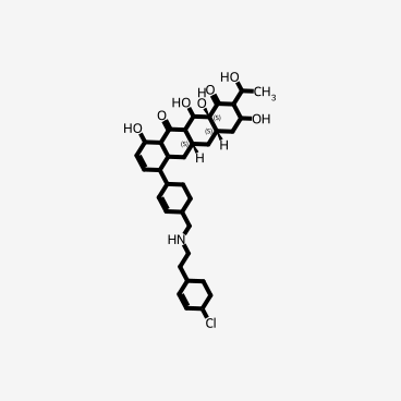 CC(O)C1C(=O)[C@@]2(O)C(O)C3C(=O)C4C(O)C=CC(C5C=CC(CNCCC6C=CC(Cl)CC6)CC5)C4C[C@H]3C[C@H]2CC1O